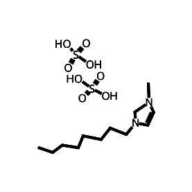 CCCCCCCCN1C=CN(C)C1.O=S(=O)(O)O.O=S(=O)(O)O